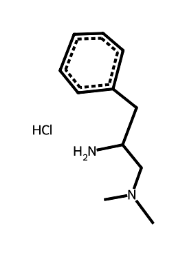 CN(C)CC(N)Cc1ccccc1.Cl